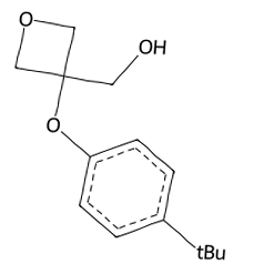 CC(C)(C)c1ccc(OC2(CO)COC2)cc1